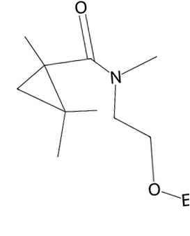 CCOCCN(C)C(=O)C1(C)CC1(C)C